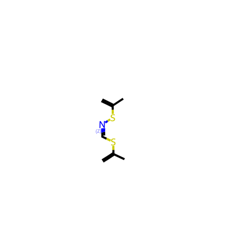 C=C(C)S/C=N\SC(=C)C